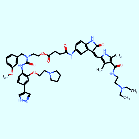 CCN(CC)CCNC(=O)c1c(C)[nH]c(/C=C2\C(=O)Nc3ccc(NC(=O)CCC(=O)OCCN(Cc4cccc(OC)c4)C(=O)Nc4ccc(-c5cn[nH]c5)cc4OCCN4CCCC4)cc32)c1C